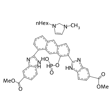 CCCCCCN1C=CN(C)C1.COC(=O)c1ccc2[nH]c(-c3ccc4cc5cccc(-c6nc7cc(C(=O)OC)ccc7[nH]6)c5cc4c3O[PH](=O)O)nc2c1